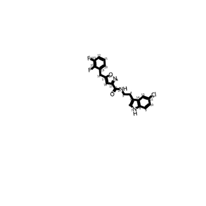 O=C(NCCc1c[nH]c2ccc(Cl)cc12)c1cc(Cc2cccc(F)c2F)on1